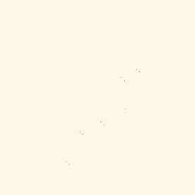 COc1ccc(Cl)cc1-c1noc(C2CC23CCN(S(=O)(=O)NCc2ccccn2)CC3)n1